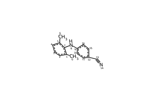 Cc1cccc(C)c1Nc1ccc(C#N)cc1